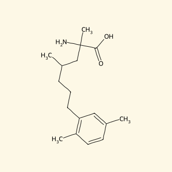 Cc1ccc(C)c(CCCC(C)CC(C)(N)C(=O)O)c1